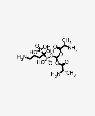 C[C@H](N)C(=O)OC(OC(=O)[C@H](C)N)OP(=O)(O)C(O)(CCCN)P(=O)(O)O